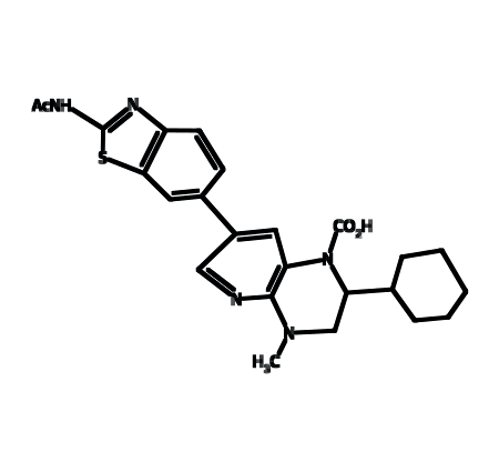 CC(=O)Nc1nc2ccc(-c3cnc4c(c3)N(C(=O)O)C(C3CCCCC3)CN4C)cc2s1